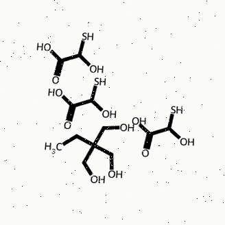 CCC(CO)(CO)CO.O=C(O)C(O)S.O=C(O)C(O)S.O=C(O)C(O)S